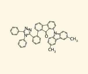 Cc1ccc2c(c1)c1cc(C)ccc1n2-c1cccc2c1C(=O)c1c(-c3ccccc3-c3nnc(-c4ccccc4)n3-c3ccccc3)cccc1-2